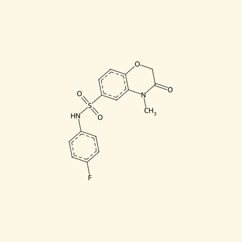 CN1C(=O)COc2ccc(S(=O)(=O)Nc3ccc(F)cc3)cc21